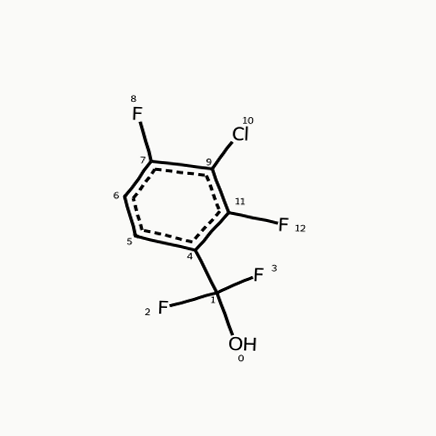 OC(F)(F)c1ccc(F)c(Cl)c1F